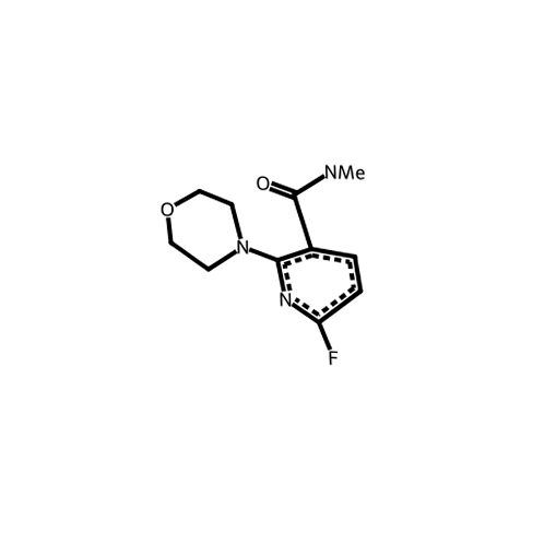 CNC(=O)c1ccc(F)nc1N1CCOCC1